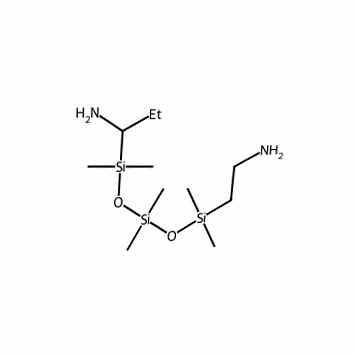 CCC(N)[Si](C)(C)O[Si](C)(C)O[Si](C)(C)CCN